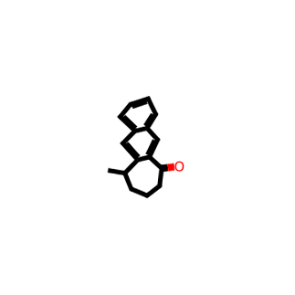 CC1CCCC(=O)c2cc3ccccc3cc21